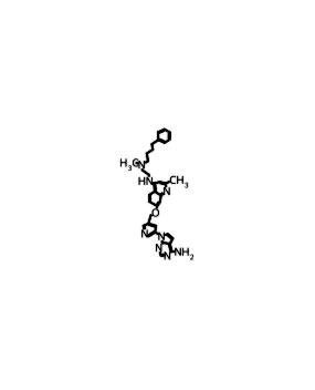 Cc1cc(NCCN(C)CCCCc2ccccc2)c2ccc(OCc3cncc(-n4ccc5c(N)ncnc54)c3)cc2n1